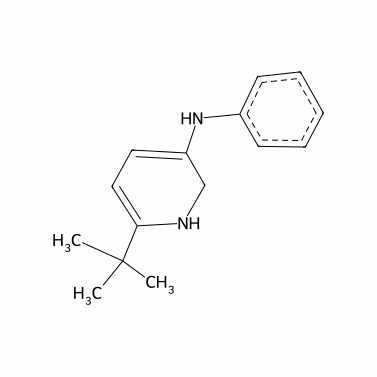 CC(C)(C)C1=CC=C(Nc2ccccc2)CN1